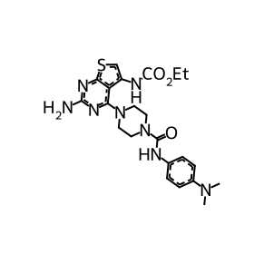 CCOC(=O)Nc1csc2nc(N)nc(N3CCN(C(=O)Nc4ccc(N(C)C)cc4)CC3)c12